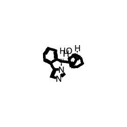 O[C@H]1C2CCC(CC2)[C@H]1[C@H]1c2ccccc2-c2cncn21